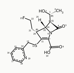 C[C@@H](O)[C@H]1C(=O)N2C(C(=O)O)=C(SCc3ccccn3)[C@H](CCF)[C@H]12